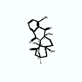 C[C@]12CC(=O)[C@@]3(O)[C@](O)(CC[C@@]4(O)C(=O)c5c(O)cccc5C(=O)[C@]34O1)C2